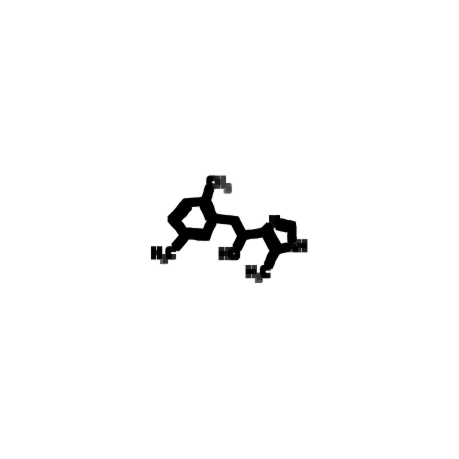 Cc1ccc(C)c(CC(O)c2nc[nH]c2C)c1